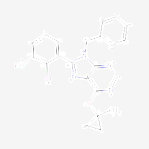 CC1(Oc2ncnc3c2nc(-c2cccc(O)c2Cl)n3Cc2ccccc2)CC1